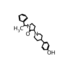 CC(c1ccccc1)N1CCC(N2CCC(c3ccc(O)cc3)CC2)C1=O